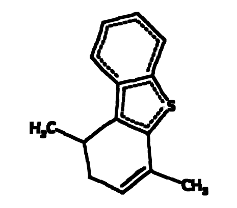 CC1=CCC(C)c2c1sc1ccccc21